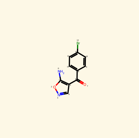 Nc1oncc1C(=O)c1ccc(Br)cc1